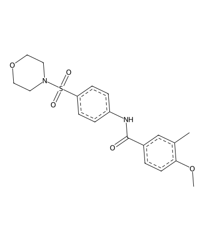 COc1ccc(C(=O)Nc2ccc(S(=O)(=O)N3CCOCC3)cc2)cc1C